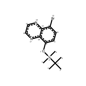 CC(C)(C)[Si](C)(C)Oc1ccc(Br)c2nccnc12